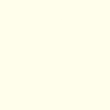 CC1C=CC(C2OC=CC2C)=CC1